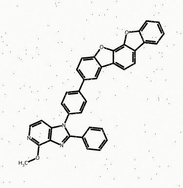 COc1nccc2c1nc(-c1ccccc1)n2-c1ccc(-c2ccc3oc4c(ccc5c6ccccc6oc54)c3c2)cc1